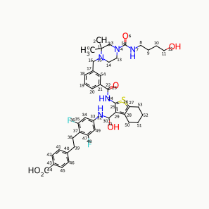 CC1(C)CN(C(=O)NCCCCO)CCN1Cc1cccc(C(=O)Nc2sc3c(c2C(O)Nc2cc(F)c(CCc4ccc(C(=O)O)cc4)c(F)c2)CCCC3)c1